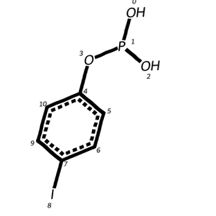 OP(O)Oc1ccc(I)cc1